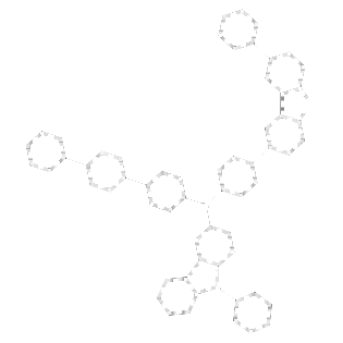 c1ccc(-c2ccc(-c3ccc(N(c4ccc(-c5ccc6oc7ccc(-c8ccccc8)cc7c6c5)cc4)c4ccc5c(c4)c4ccccc4n5-c4ccccc4)cc3)cc2)cc1